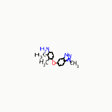 Cc1c(N)ccc(Oc2ccc3c(c2)nnn3C)c1C